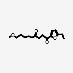 CCc1ccc(C(=O)CCC(=O)CCCCCOC)o1